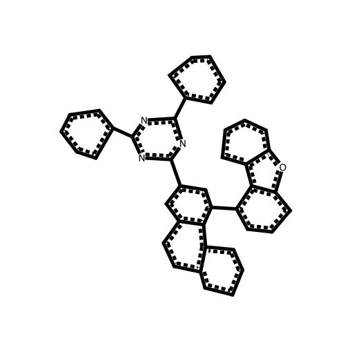 c1ccc(-c2nc(-c3ccccc3)nc(-c3cc(-c4cccc5oc6ccccc6c45)c4c(ccc5ccccc54)c3)n2)cc1